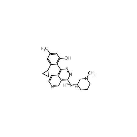 CN1CCC[C@@H]([14NH]c2nnc(-c3c(O)cc(C(F)(F)F)cc3C3CC3)c3ccncc23)C1